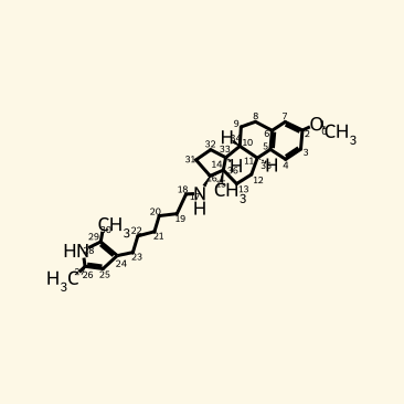 COc1ccc2c(c1)CC[C@@H]1[C@@H]2CC[C@]2(C)[C@@H](NCCCCCCc3cc(C)[nH]c3C)CC[C@@H]12